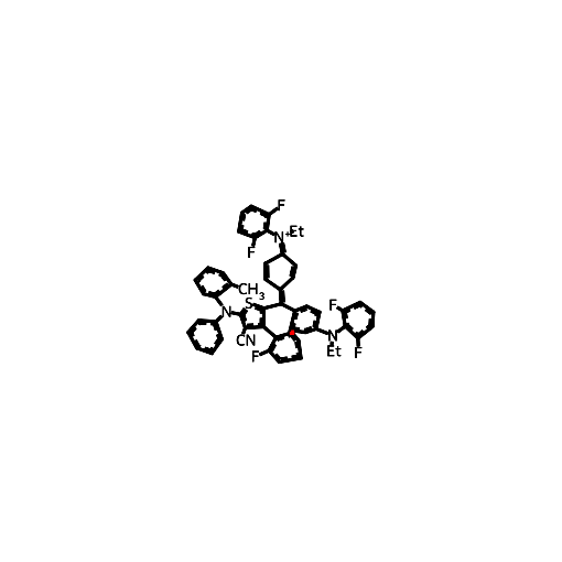 CCN(c1ccc(C(=C2C=CC(=[N+](CC)c3c(F)cccc3F)C=C2)c2sc(N(c3ccccc3)c3ccccc3C)c(C#N)c2-c2ccccc2F)cc1)c1c(F)cccc1F